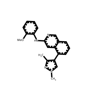 COc1c[c]ccc1Nc1cc2c(-c3cn(C)nc3C)cccc2cn1